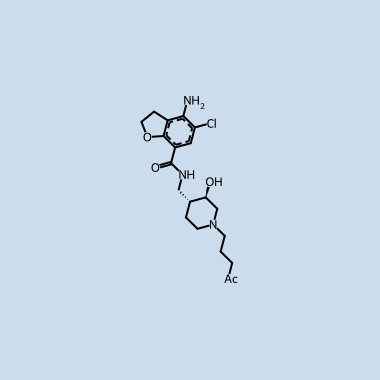 CC(=O)CCCN1CC[C@H](CNC(=O)c2cc(Cl)c(N)c3c2OCC3)[C@@H](O)C1